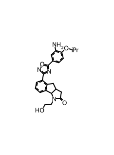 CC(C)Oc1ccc(-c2nc(-c3cccc4c3CC3CC(=O)N(CCO)C43)no2)cc1N